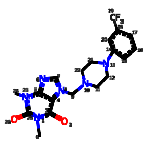 Cn1c(=O)c2c(ncn2CN2CCN(c3cccc(C(F)(F)F)c3)CC2)n(C)c1=O